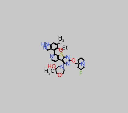 CCOc1c(C)cc2[nH]ncc2c1-c1nccc2c1sc1nc(OC[C@@]34CCCN3C[C@H](F)C4)nc(N3CCOC[C@@](C)(O)C3)c12